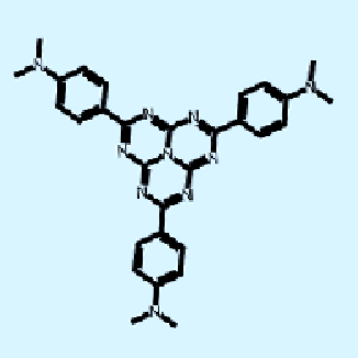 CN(C)c1ccc(C2=NC3=NC(c4ccc(N(C)C)cc4)=NC4=NC(c5ccc(N(C)C)cc5)=NC(=N2)N34)cc1